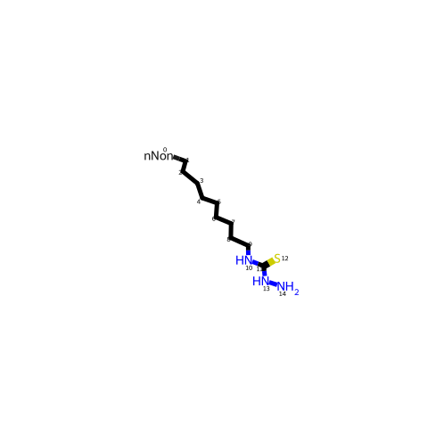 CCCCCCCCCCCCCCCCCCNC(=S)NN